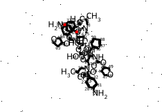 CC(C)CN(C[C@H](O[PH](O)(O)O[PH](O)(O)O[C@H](CN(CC(C)C)S(=O)(=O)c1ccc(N)cc1)[C@H](Cc1ccccc1)NC(=O)O[C@H]1CCOC1)[C@H](Cc1ccccc1)NC(=O)O[C@H]1CCOC1)S(=O)(=O)c1ccc(N)cc1